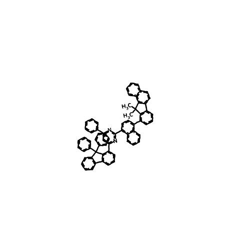 CC1(C)c2c(cccc2-c2ccc(-c3nc(-c4ccccc4)cc(-c4cccc5c4C(c4ccccc4)(c4ccccc4)c4ccccc4-5)n3)c3ccccc23)-c2ccc3ccccc3c21